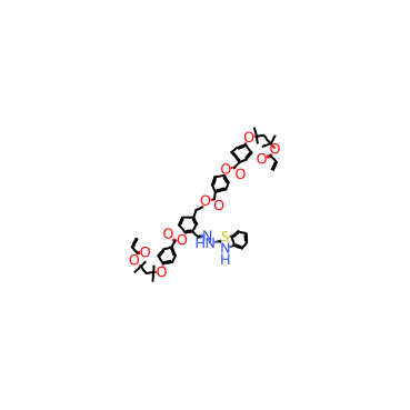 C=CC(=O)OC(C)(C)CC(C)(C)Oc1ccc(C(=O)Oc2ccc(C(=O)OCCc3ccc(OC(=O)c4ccc(OC(C)(C)CC(C)(C)OC(=O)C=C)cc4)c(/C=N/NC4Nc5ccccc5S4)c3)cc2)cc1